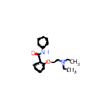 CCN(CC)CCOc1ccccc1C(=O)Nc1ccccc1